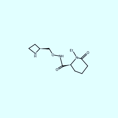 CCN1C(=O)CCC[C@H]1C(=O)NOC[C@@H]1CCN1